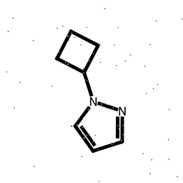 [c]1ccnn1C1CCC1